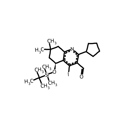 CC1(C)Cc2nc(C3CCCC3)c(C=O)c(I)c2[C@@H](O[Si](C)(C)C(C)(C)C)C1